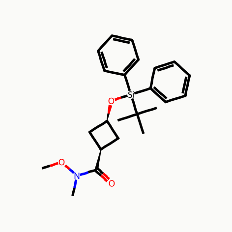 CON(C)C(=O)[C@H]1C[C@@H](O[Si](c2ccccc2)(c2ccccc2)C(C)(C)C)C1